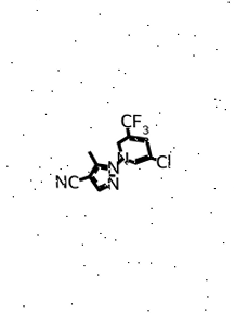 Cc1c(C#N)cnn1N1C=C(Cl)C=C(C(F)(F)F)C1